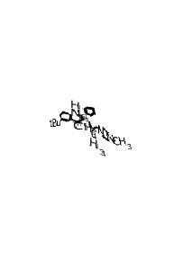 CC(CC[C@H]1[C@@H](c2ccccc2)NC2C=CC(C(C)(C)C)=CC2[C@H]1C)CN1CCN(C)CC1